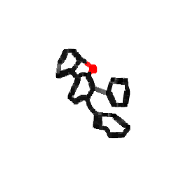 c1ccc(-c2ccc3c(oc4ccccc43)c2-c2ccccc2)cc1